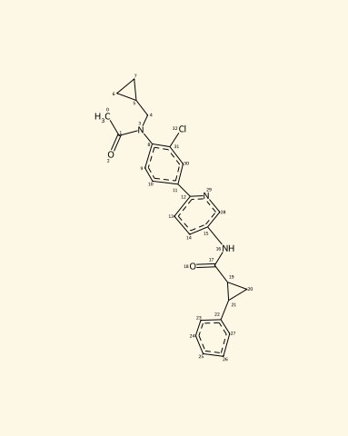 CC(=O)N(CC1CC1)c1ccc(-c2ccc(NC(=O)C3CC3c3ccccc3)cn2)cc1Cl